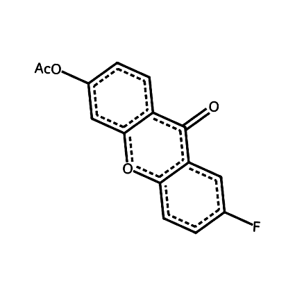 CC(=O)Oc1ccc2c(=O)c3cc(F)ccc3oc2c1